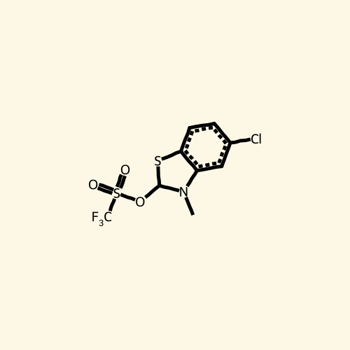 CN1c2cc(Cl)ccc2SC1OS(=O)(=O)C(F)(F)F